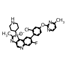 CC1=Nc2cnc3cc(F)c(-c4ccc(Oc5nccc(C)n5)cc4Cl)cc3c2[N+]1([O-])C1CCNCC1